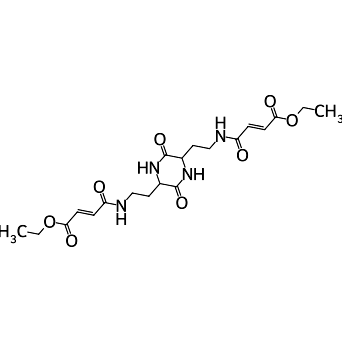 CCOC(=O)/C=C/C(=O)NCCC1NC(=O)C(CCNC(=O)/C=C/C(=O)OCC)NC1=O